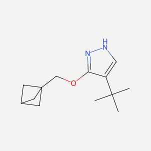 CC(C)(C)c1c[nH]nc1OCC12CC(C1)C2